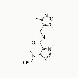 Cc1noc(C)c1CN(C)C(=O)c1c(N(C)C=O)ncn1C